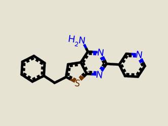 Nc1nc(-c2cccnc2)nc2sc(Cc3ccccc3)cc12